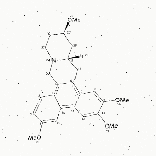 COc1ccc2c3c(c4cc(OC)c(OC)cc4c2c1)C[C@H]1C[C@H](OC)CCN1C3